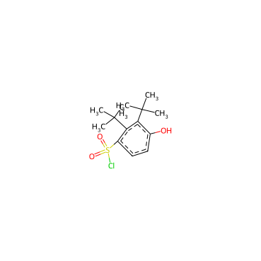 CC(C)(C)c1c(O)ccc(S(=O)(=O)Cl)c1C(C)(C)C